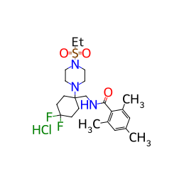 CCS(=O)(=O)N1CCN(C2(CNC(=O)c3c(C)cc(C)cc3C)CCC(F)(F)CC2)CC1.Cl